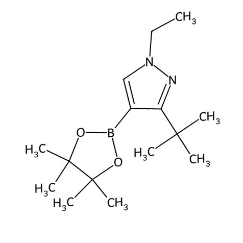 CCn1cc(B2OC(C)(C)C(C)(C)O2)c(C(C)(C)C)n1